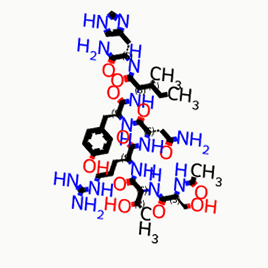 CC[C@H](C)[C@H](NC(=O)[C@H](Cc1ccc(O)cc1)NC(=O)[C@H](CC(N)=O)NC(=O)[C@H](CCCNC(=N)N)NC(=O)[C@@H](NC(=O)[C@H](CO)NC(C)=O)[C@@H](C)O)C(=O)N[C@@H](Cc1c[nH]cn1)C(N)=O